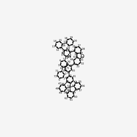 c1ccc(-c2ccc(-c3nc(-c4ccccc4-c4ccccc4)nc(-c4cccc5oc6ccc(-c7cccc(-c8ccc9c(c8)-c8ccccc8C98c9ccccc9-c9ccccc98)c7)cc6c45)n3)cc2)cc1